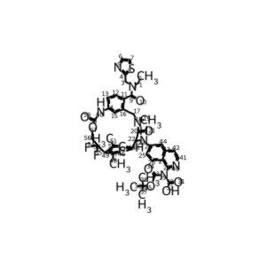 CCN(Cc1nccs1)C(=O)c1ccc2cc1CN(C)C(=O)[C@H](Nc1ccc3c(N(C(=O)O)C(=O)OC(C)(C)C)nccc3c1)c1cc(C)c(c(C)c1)C(F)(F)COC(=O)N2